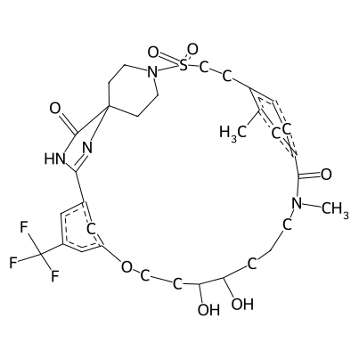 Cc1cc2ccc1CCS(=O)(=O)N1CCC3(CC1)N=C(NC3=O)c1cc(cc(C(F)(F)F)c1)OCCC(O)C(O)CCCN(C)C2=O